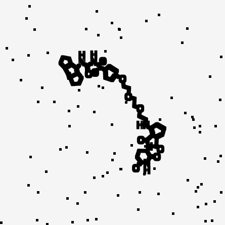 O=C1CCC(N2C(=O)c3cccc(NCCOCCOCCOc4ccc(S(=O)(=O)NC(=O)Nc5c6c(cc7c5CCC7)CCC6)cc4)c3C2=O)C(=O)N1